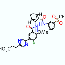 COc1cc(F)c(-c2cnc(CCC(=O)O)cn2)cc1C(=O)N[C@@H]1[C@@H]2CC[C@@H](C2)[C@@H]1C(=O)Nc1cccc(S(=O)(=O)C(F)(F)F)c1